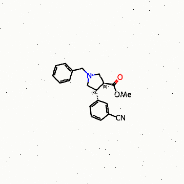 COC(=O)[C@@H]1CN(Cc2ccccc2)C[C@H]1c1cccc(C#N)c1